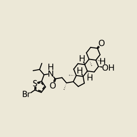 CC(C)C(NC(=O)C[C@@H](C)C1CC[C@H]2[C@@H]3C[C@H](O)[C@@H]4CC(=O)CC[C@]4(C)[C@H]3CC[C@]12C)c1ccc(Br)s1